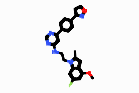 COc1cc(F)cc2c1cc(C)n2CCNc1cc(-c2ccc(-c3ccon3)cc2)ncn1